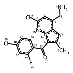 Cc1nc2c(CN)cc(Cl)nn2c1C(=O)c1ccc(Cl)cc1F